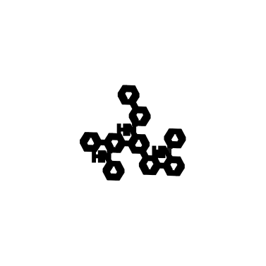 CC1C(c2ccccc2Nc2ccccc2)=CC=CC1c1ccc(Nc2cccc(-c3ccccc3)c2)c(-c2ccc(-c3ccccc3)c(Nc3ccccc3)c2)c1